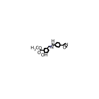 COC(=O)c1cc(/C=N/Nc2ccc(-c3cnco3)cc2)ccc1O